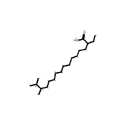 CCC(CCCCCCCCCCCC(C)C(C)C)C(=O)O